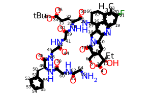 CC[C@@]1(O)C(=O)OCc2c1cc1n(c2=O)Cc2c-1nc1cc(F)c(C)c3c1c2[C@@H](NC(=O)[C@H](CCC(=O)OC(C)(C)C)NC(=O)CNC(=O)CNC(=O)[C@H](Cc1ccccc1)NC(=O)CNC(=O)CN)CC3